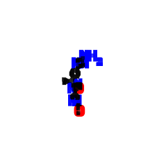 COCCn1cc(-c2nc([C@@H](c3ccc(-c4cnc(N)cn4)cc3)C3CC3)no2)cn1